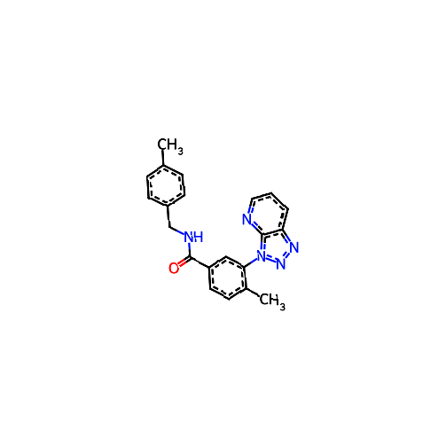 Cc1ccc(CNC(=O)c2ccc(C)c(-n3nnc4cccnc43)c2)cc1